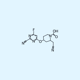 N#CCC1CC(Oc2cc(F)nc(C#N)n2)CCN1C(=O)O